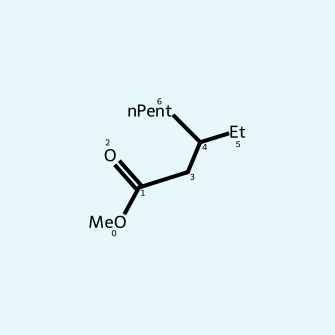 [CH2]OC(=O)CC(CC)CCCCC